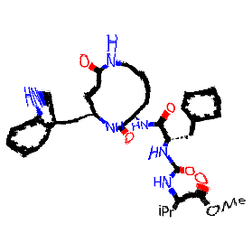 COC(=O)C(NC(=O)N[C@@H](Cc1ccccc1)C(=O)N[C@H]1CCCCNC(=O)/C=C/[C@H](Cc2c[nH]c3ccccc23)NC1=O)C(C)C